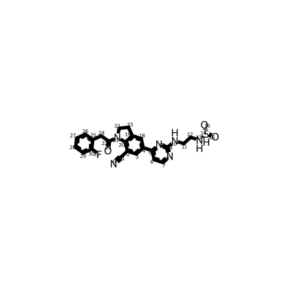 N#Cc1cc(-c2ccnc(NCCN[SH](=O)=O)n2)cc2c1N(C(=O)Cc1ccccc1F)CC2